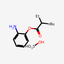 CCCCC(CC)C(=O)Oc1ccccc1N.O=S(=O)(O)O